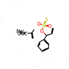 C=C(C)C(=O)[O-].C=CC(OS(=O)([O-])=S)c1ccccc1.[Na+].[Na+]